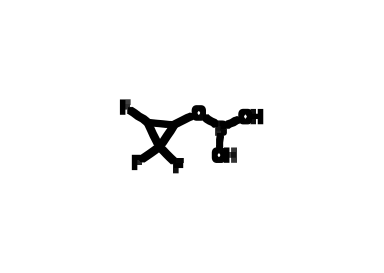 OB(O)OC1C(F)C1(F)F